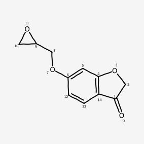 O=C1COc2cc(OCC3CO3)ccc21